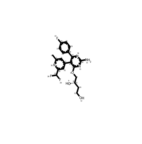 Cc1cc(-c2c(OC[C@@H](O)CCO)nc(N)nc2-c2ccc(F)cc2)cc(C(F)F)n1